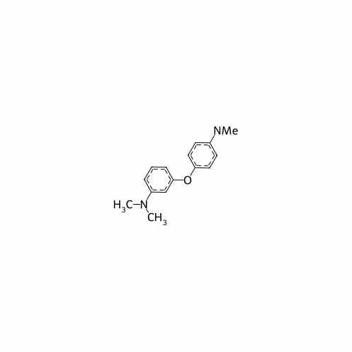 CNc1ccc(Oc2cccc(N(C)C)c2)cc1